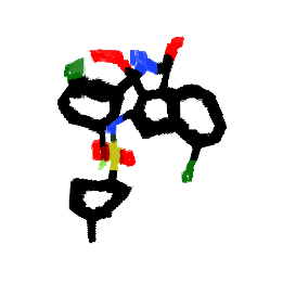 Cc1ccc(S(=O)(=O)Nc2cc3c(Cl)cccc3c3c2C(O)(c2cc(F)ccc2Cl)NC3=O)cc1